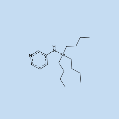 CCC[CH2][Sn]([CH2]CCC)([CH2]CCC)[NH]c1cccnc1